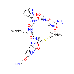 CC(=O)NCCCC[C@@H]1NC(=O)[C@H](Cc2c[nH]c3c(C)cccc23)NC(=O)[C@H]([C@@H](C)O)NC(=O)[C@H](CC(N)=O)NC(=O)[C@@H](NC(C)=O)C(C)(C)SSC(C)(C)[C@@H](C(=O)N[C@@H](Cc2ccc(OCCN)cc2)C(N)=O)NC1=O